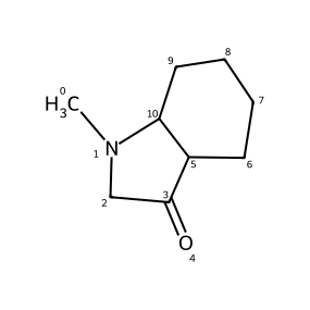 CN1CC(=O)C2CCCCC21